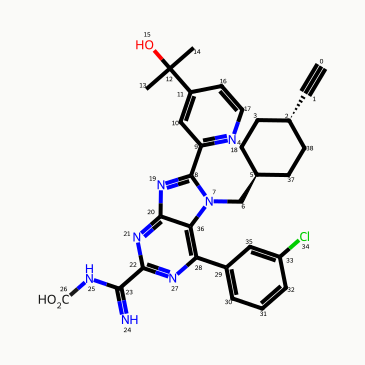 C#C[C@H]1CC[C@H](Cn2c(-c3cc(C(C)(C)O)ccn3)nc3nc(C(=N)NC(=O)O)nc(-c4cccc(Cl)c4)c32)CC1